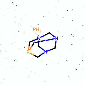 C1N2CN3CN1CP(C2)C3.P